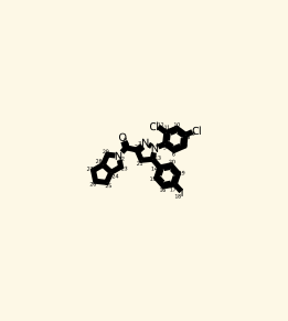 O=C(C1=NN(c2ccc(Cl)cc2Cl)C(c2ccc(I)cc2)C1)N1CC2CCCC2C1